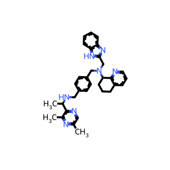 Cc1cnc(C(C)NCc2ccc(CN(Cc3nc4ccccc4[nH]3)C3CCCc4cccnc43)cc2)c(C)n1